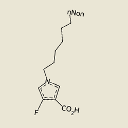 CCCCCCCCCCCCCCCn1cc(F)c(C(=O)O)c1